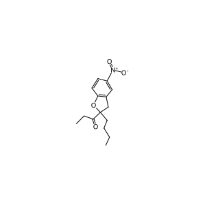 CCCCC1(C(=O)CC)Cc2cc([N+](=O)[O-])ccc2O1